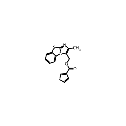 Cc1nc2sc3ccccc3n2c1COC(=O)c1ccsc1